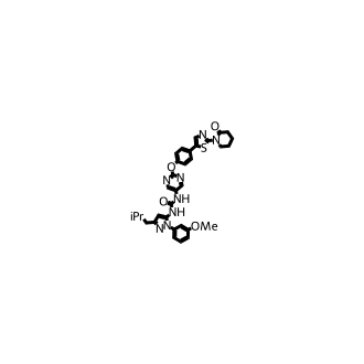 COc1cccc(-n2nc(CC(C)C)cc2NC(=O)Nc2cnc(Oc3ccc(-c4cnc(N5CCCCC5=O)s4)cc3)nc2)c1